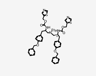 CCN(CC(Cc1ccc(OCc2ccccc2)cc1)NC(=O)OCc1cncs1)C[C@H](Cc1ccc(OCc2ccccc2)cc1)NC(=O)OCc1cncs1